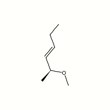 CC/C=C/[C@H](C)OC